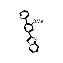 COc1cc(-c2cn3ccccc3n2)ccc1-c1ccccn1